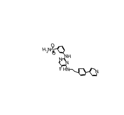 NS(=O)(=O)c1cccc(Nc2ncc(F)c(NCCc3ccc(-c4ccncc4)cc3)n2)c1